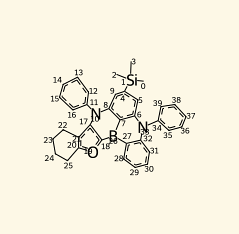 C[Si](C)(C)c1cc2c3c(c1)N(c1ccccc1)c1c(oc4c1CCCC4)B3c1ccccc1N2c1ccccc1